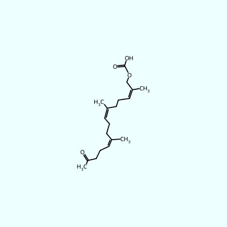 CC(=O)CCC=C(C)CCC=C(C)CCC=C(C)COC(=O)O